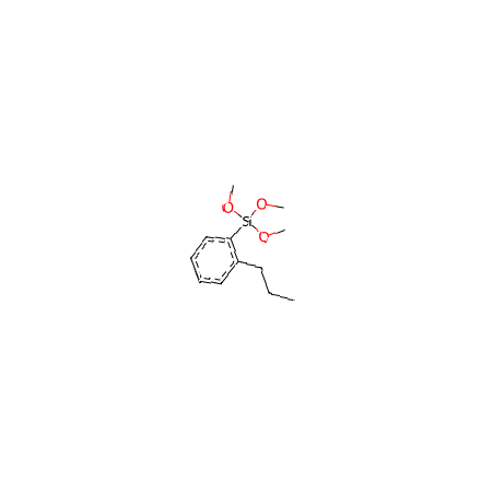 CCCc1ccccc1[Si](OC)(OC)OC